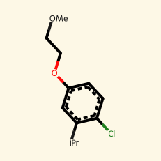 COCCOc1ccc(Cl)c(C(C)C)c1